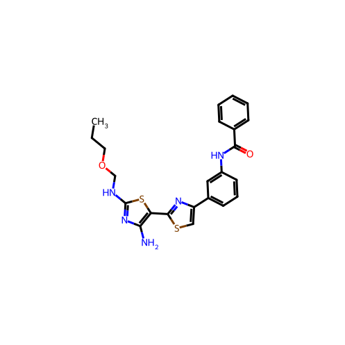 CCCOCNc1nc(N)c(-c2nc(-c3cccc(NC(=O)c4ccccc4)c3)cs2)s1